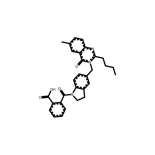 CCCCc1nc2ccc(C)cc2c(=O)n1Cc1ccc2c(c1)CCN2C(=O)c1ccccc1C(=O)O